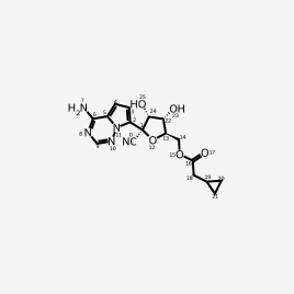 N#C[C@@]1(c2ccc3c(N)ncnn23)O[C@H](COC(=O)CC2CC2)[C@@H](O)[C@H]1O